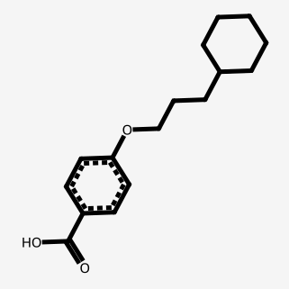 O=C(O)c1ccc(OCCCC2CCCCC2)cc1